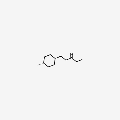 CCNCC[C@H]1CC[C@H](C)CC1